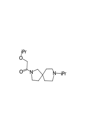 CC(C)OCC(=O)N1CCC2(CCN(C(C)C)CC2)C1